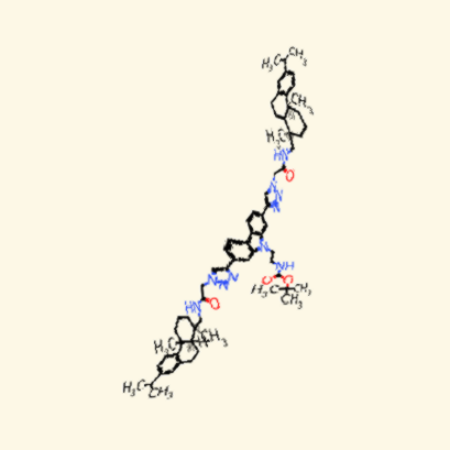 CC(C)c1ccc2c(c1)CC[C@@H]1C2(C)CCC[C@@]1(C)CNC(=O)Cn1cc(-c2ccc3c4ccc(-c5cn(CC(=O)NC[C@]6(C)CCC[C@]7(C)c8ccc(C(C)C)cc8CCC67)nn5)cc4n(CCNC(=O)OC(C)(C)C)c3c2)nn1